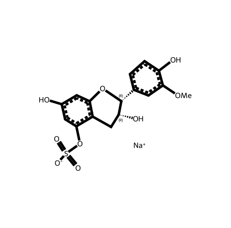 COc1cc([C@H]2Oc3cc(O)cc(OS(=O)(=O)[O-])c3C[C@H]2O)ccc1O.[Na+]